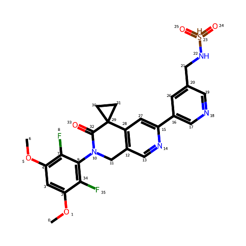 COc1cc(OC)c(F)c(N2Cc3cnc(-c4cncc(CN[SH](=O)=O)c4)cc3C3(CC3)C2=O)c1F